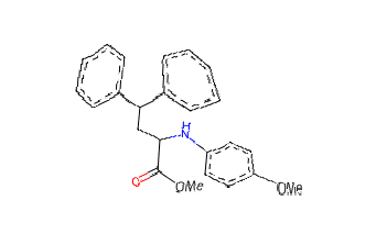 COC(=O)C(CC(c1ccccc1)c1ccccc1)Nc1ccc(OC)cc1